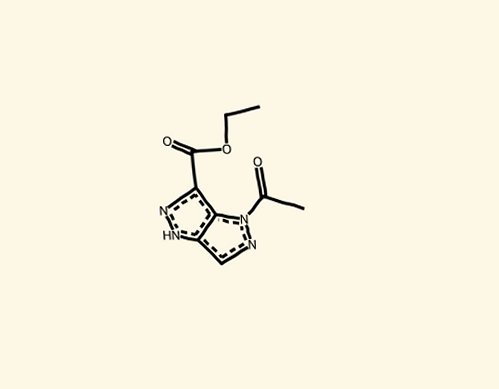 CCOC(=O)c1n[nH]c2cnn(C(C)=O)c12